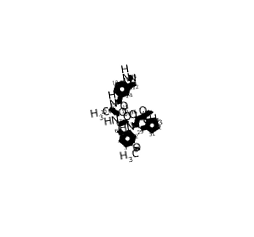 COc1ccc(C[C@H](NC(=O)[C@@H](C)NC(=O)c2ccc3[nH]ncc3c2)C(=O)N[C@@H](CC2CCCC2)C(=O)[C@@]2(C)CO2)cc1